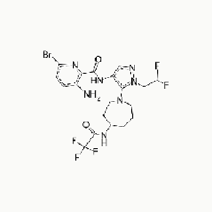 Nc1ccc(Br)nc1C(=O)Nc1cnn(CC(F)F)c1N1CCCC(NC(=O)C(F)(F)F)CC1